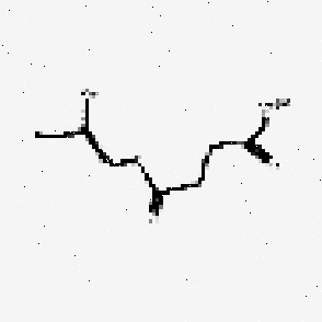 CNC(=O)CCC(=O)OCC(C)O